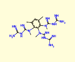 Cc1[c]c(C)c(N(C)C(=N)NC(=N)N)c(N(C)C(=N)NC(=N)N)c1N(C)C(=N)NC(=N)N